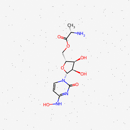 C[C@H](N)C(=O)OC[C@H]1O[C@@H](n2ccc(NO)nc2=O)[C@H](O)[C@@H]1O